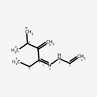 C=CN/N=C(/CC)C(=C)C(C)C